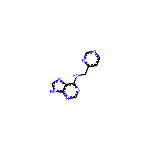 c1cc(CNc2ncnc3[nH]cnc23)ncn1